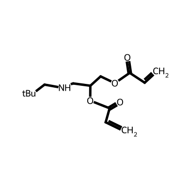 C=CC(=O)OCC(CNCC(C)(C)C)OC(=O)C=C